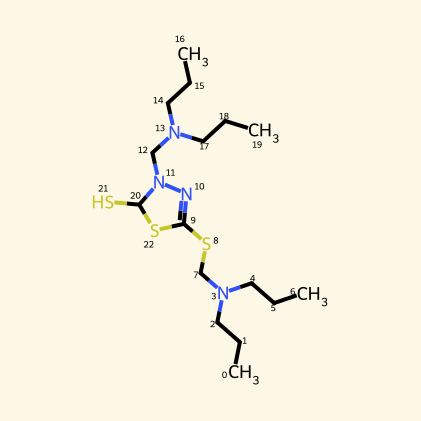 CCCN(CCC)CSC1=NN(CN(CCC)CCC)C(S)S1